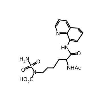 CC(=O)NC(CCCCN(C(=O)O)S(N)(=O)=O)C(=O)Nc1cccc2cccnc12